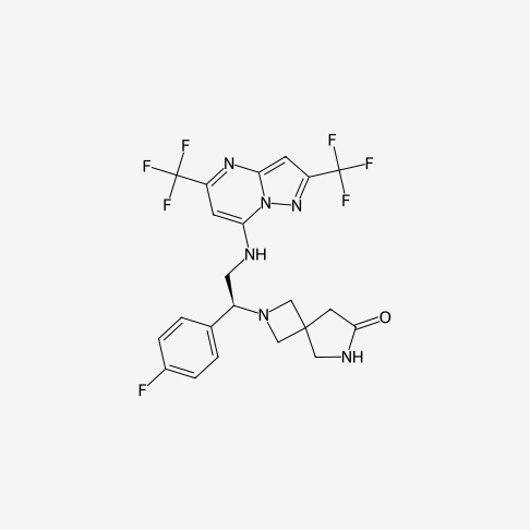 O=C1CC2(CN1)CN([C@H](CNc1cc(C(F)(F)F)nc3cc(C(F)(F)F)nn13)c1ccc(F)cc1)C2